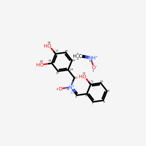 C=[NH+][O-].[O-]/[N+](=C/c1ccccc1O)Cc1ccc(O)c(O)c1